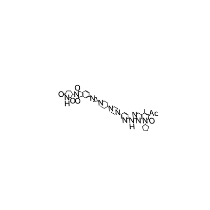 CC(=O)c1c(C)c2cnc(Nc3ccc(N4CCN(C5CCN(C6CN(c7ccc8c(c7)C(=O)N(C7CCC(=O)NC7=O)C8=O)C6)CC5)CC4)cn3)nc2n(C2CCCC2)c1=O